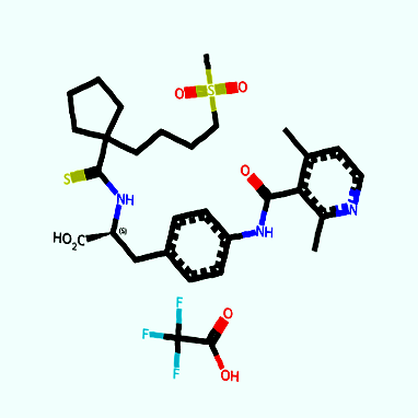 Cc1ccnc(C)c1C(=O)Nc1ccc(C[C@H](NC(=S)C2(CCCCS(C)(=O)=O)CCCC2)C(=O)O)cc1.O=C(O)C(F)(F)F